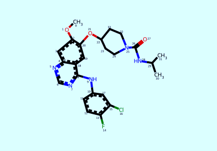 COc1cc2ncnc(Nc3ccc(F)c(Cl)c3)c2cc1OC1CCN(C(=O)NC(C)C)CC1